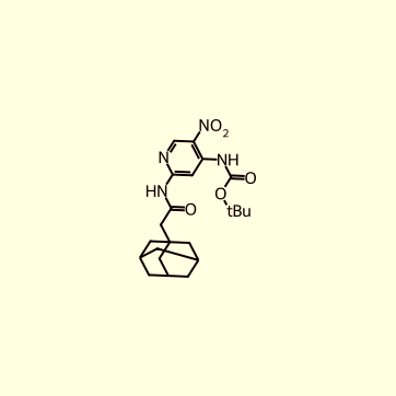 CC(C)(C)OC(=O)Nc1cc(NC(=O)CC23CC4CC(CC(C4)C2)C3)ncc1[N+](=O)[O-]